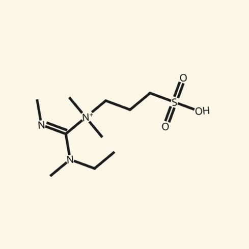 CCN(C)C(=NC)[N+](C)(C)CCCS(=O)(=O)O